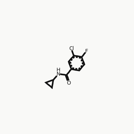 O=C(NC1CC1)c1ccc(F)c(Cl)c1